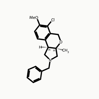 COc1ccc2c(c1Cl)CO[C@@]1(C)CN(Cc3ccccc3)C[C@@H]21